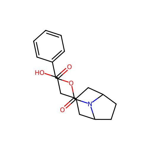 O=C(O)CC1CC2CCC(C1)N2C(=O)OCc1ccccc1